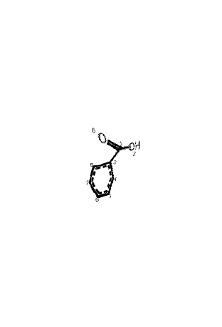 O=C(O)c1[c][c]ccc1